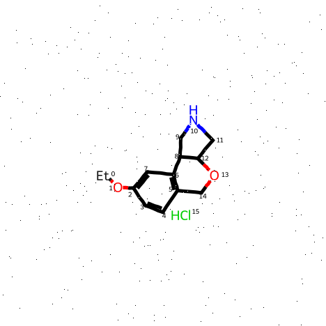 CCOc1ccc2c(c1)C1CNCC1OC2.Cl